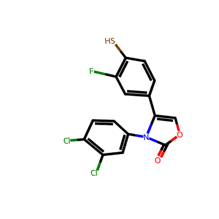 O=c1occ(-c2ccc(S)c(F)c2)n1-c1ccc(Cl)c(Cl)c1